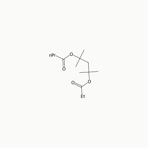 CCCC(=O)OC(C)(C)CC(C)(C)OC(=O)CC